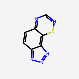 c1nsc2c(ccc3nnnc32)n1